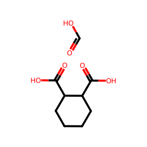 O=C(O)C1CCCCC1C(=O)O.O=CO